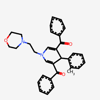 Cc1ccccc1C1C(C(=O)c2ccccc2)=CN(CCN2CCOCC2)C=C1C(=O)c1ccccc1